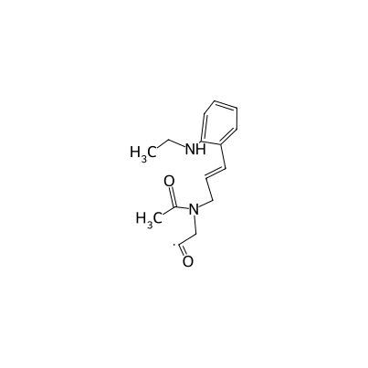 CCNc1ccccc1/C=C/CN(C[C]=O)C(C)=O